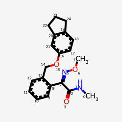 CNC(=O)C(=NOC)c1ccccc1COc1ccc2c(c1)CCC2